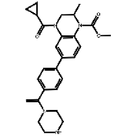 C=C(c1ccc(-c2ccc3c(c2)N(C(=O)C2CC2)CC(C)N3C(=O)OC)cc1)N1CCNCC1